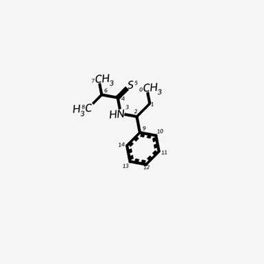 CCC(NC(=S)C(C)C)c1ccccc1